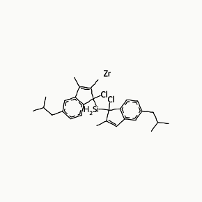 CC1=Cc2cc(CC(C)C)ccc2C1(Cl)[SiH2]C1(Cl)C(C)=C(C)c2cc(CC(C)C)ccc21.[Zr]